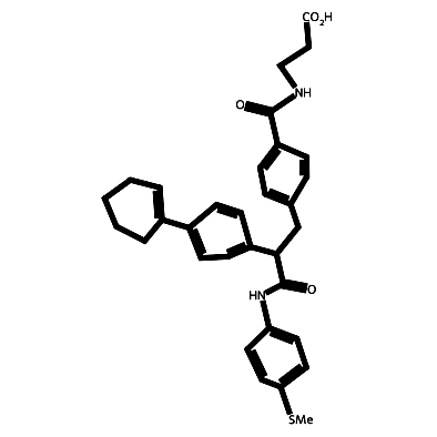 CSc1ccc(NC(=O)C(Cc2ccc(C(=O)NCCC(=O)O)cc2)c2ccc(C3=CCCCC3)cc2)cc1